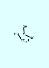 O=C(O)O.O=NOO